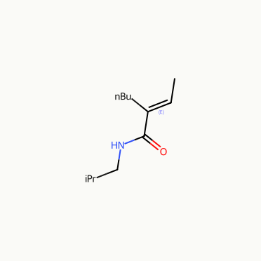 C/C=C(\CCCC)C(=O)NCC(C)C